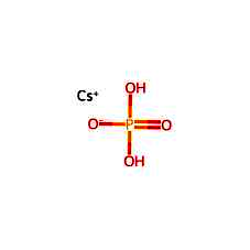 O=P([O-])(O)O.[Cs+]